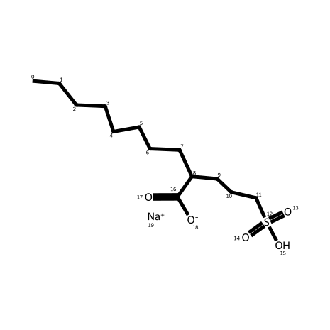 CCCCCCCCC(CCCS(=O)(=O)O)C(=O)[O-].[Na+]